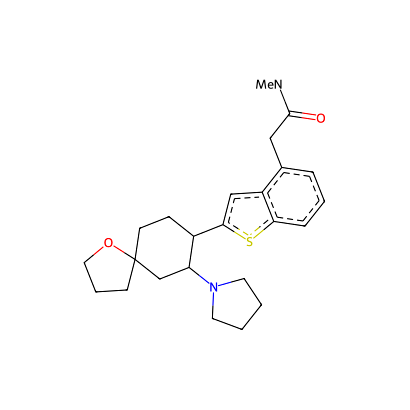 CNC(=O)Cc1cccc2sc(C3CCC4(CCCO4)CC3N3CCCC3)cc12